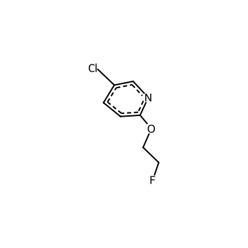 FCCOc1ccc(Cl)cn1